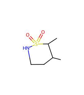 CC1CCNS(=O)(=O)C1C